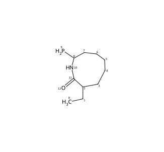 CCC1CCCCCC(P)NC1=O